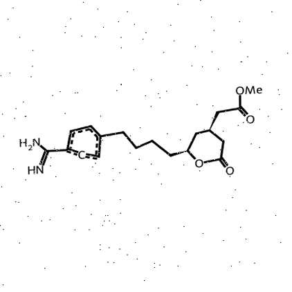 COC(=O)C[C@H]1CC(=O)O[C@@H](CCCCc2ccc(C(=N)N)cc2)C1